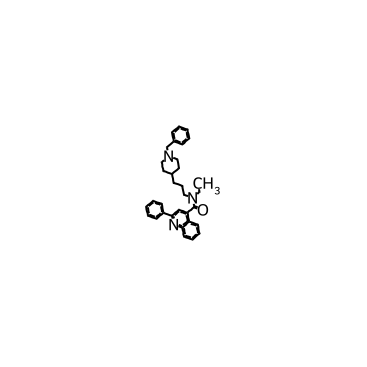 CCN(CCCC1CCN(Cc2ccccc2)CC1)C(=O)c1cc(-c2ccccc2)nc2ccccc12